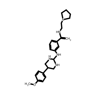 C=C(NCCN1CCCC1)c1cccc(NC2NCC(c3ccc(OC)cc3)CN2)c1